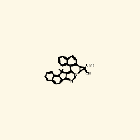 CO[C@]1(O)C2c3ccc4ccccc4c3-c3c4c(nc[n+]3C21)-c1ccc2ccccc2c1C4(C)C